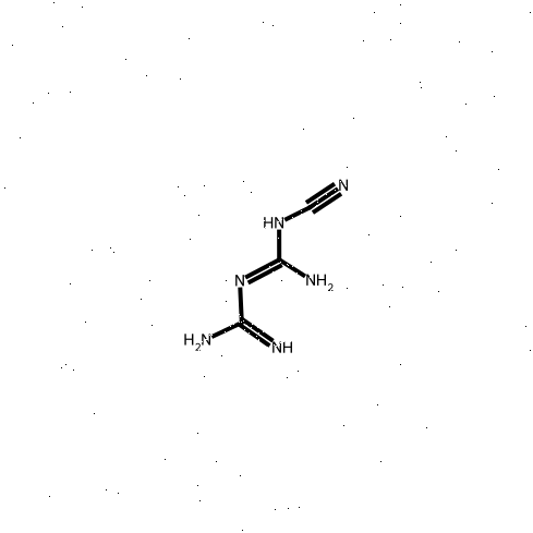 N#CN/C(N)=N/C(=N)N